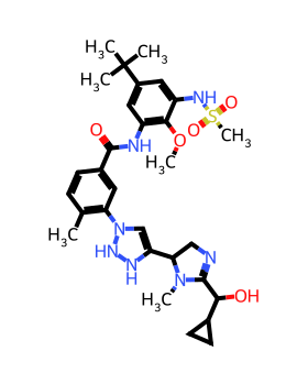 COc1c(NC(=O)c2ccc(C)c(N3C=C(C4CN=C(C(O)C5CC5)N4C)NN3)c2)cc(C(C)(C)C)cc1NS(C)(=O)=O